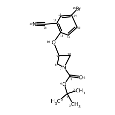 CC(C)(C)OC(=O)N1CC(Oc2ccc(Br)cc2C#N)C1